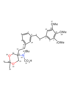 COc1cc(CCc2cccc(CCC3(N(C(=O)O)C(C)(C)C)COC(C)(C)OC3)c2)cc(OC)c1OC